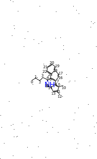 CCCCC(=N)c1c(C2=C(C)C(C)=CC2C)ccc2ccccc12